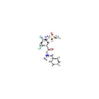 CN(CC(=O)c1cc(NS(C)(=O)=O)c(F)cc1F)Cc1ccccc1